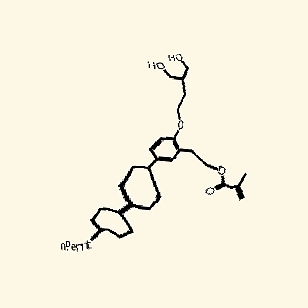 C=C(C)C(=O)OCCc1cc(C2CCC(C3CCC(CCCCC)CC3)CC2)ccc1OCCC(CO)CO